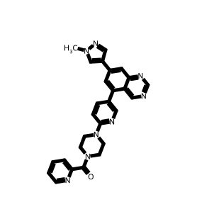 Cn1cc(-c2cc(-c3ccc(N4CCN(C(=O)c5ccccn5)CC4)nc3)c3cncnc3c2)cn1